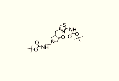 CC(C)(C)OC(=O)NCCN1CC(=O)C(Cc2csc(NC(=O)OC(C)(C)C)n2)C1